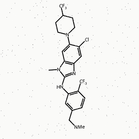 CNCc1ccc(C(F)(F)F)c(Nc2nc3cc(Cl)c(N4CCC(C(F)(F)F)CC4)cc3n2C)c1